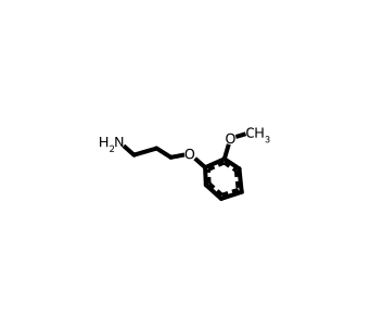 COc1ccccc1OCCCN